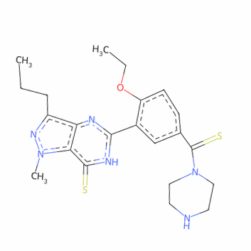 CCCc1nn(C)c2c(=S)[nH]c(-c3cc(C(=S)N4CCNCC4)ccc3OCC)nc12